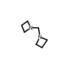 C1CN(CN2CCC2)C1